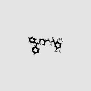 Nc1ccc([N+](=O)[O-])cc1C(=O)NCC1CCN(C(c2ccccc2)c2ccccc2)CC1